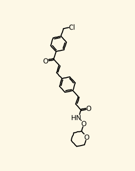 O=C(C=Cc1ccc(C=CC(=O)c2ccc(CCl)cc2)cc1)NOC1CCCCO1